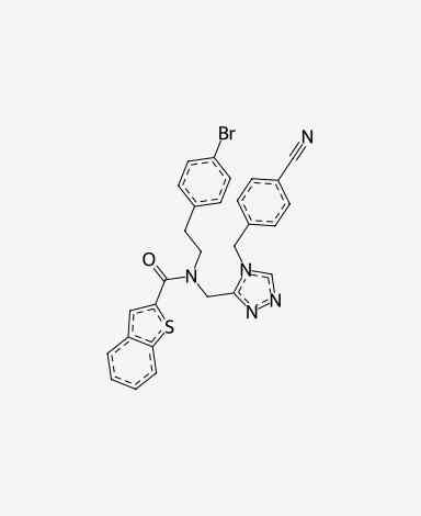 N#Cc1ccc(Cn2cnnc2CN(CCc2ccc(Br)cc2)C(=O)c2cc3ccccc3s2)cc1